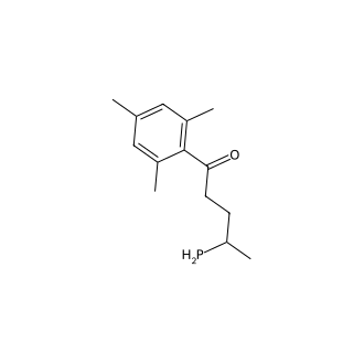 Cc1cc(C)c(C(=O)CCC(C)P)c(C)c1